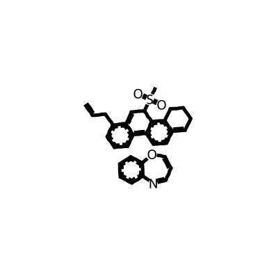 C1=COc2ccccc2N=C1.C=CCc1cccc2c1=CC(S(C)(=O)=O)c1c3c(ccc1=2)=CCCC3